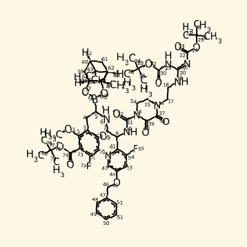 COc1c(C[C@H](NC(=O)C(NC(=O)N2CCN(CCN/C(=N/C(=O)OC(C)(C)C)NC(=O)OC(C)(C)C)C(=O)C2=O)c2ncc(OCc3ccccc3)cc2F)B2O[C@@H]3C[C@@H]4C[C@@H](C4(C)C)[C@]3(C)O2)ccc(F)c1C(=O)OC(C)(C)C